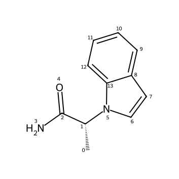 C[C@H](C(N)=O)n1ccc2ccccc21